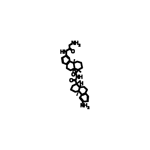 C[C@]1(C(=O)NC(=O)[C@@]2(C)CCC[C@]3(C)c4cc(NC(=O)CN)ccc4CC[C@@H]23)CCC[C@]2(C)c3cc(N)ccc3CC[C@@H]12